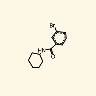 O=C(NC1CCCCC1)c1cccc(Br)c1